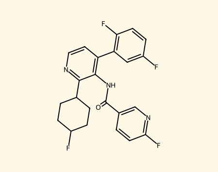 O=C(Nc1c(-c2cc(F)ccc2F)ccnc1C1CCC(F)CC1)c1ccc(F)nc1